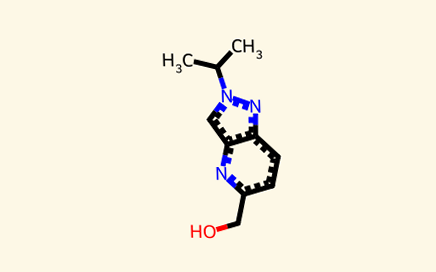 CC(C)n1cc2nc(CO)ccc2n1